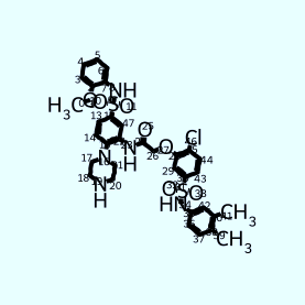 COc1ccccc1NS(=O)(=O)c1ccc(N2CCNCC2)c(NC(=O)COc2cc(S(=O)(=O)Nc3ccc(C)c(C)c3)ccc2Cl)c1